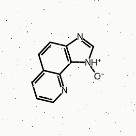 [O-][NH+]1C=Nc2ccc3cccnc3c21